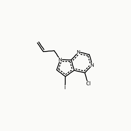 C=CCn1cc(I)c2c(Cl)ncnc21